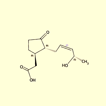 C[C@H](O)/C=C\C[C@H]1C(=O)CC[C@@H]1CC(=O)O